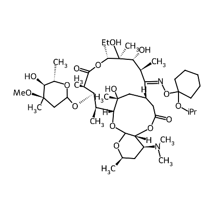 CC[C@H]1OC(=O)[C@H](C)[C@@H](OC2C[C@@](C)(OC)[C@@H](O)[C@H](C)O2)[C@H](C)[C@H]2OC3O[C@H](C)C[C@H](N(C)C)[C@H]3OC(=O)C[C@H](C[C@@]2(C)O)/C(=N\OC2(OC(C)C)CCCCC2)[C@H](C)[C@@H](O)[C@]1(C)O